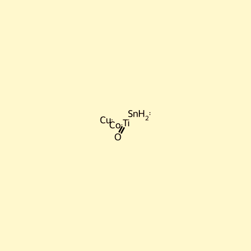 [Co].[Cu].[O]=[Ti].[SnH2]